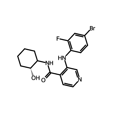 O=C(NC1CCCC[C@H]1O)c1ccncc1Nc1ccc(Br)cc1F